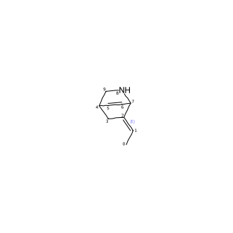 C/C=C1\CC2C=CC1NC2